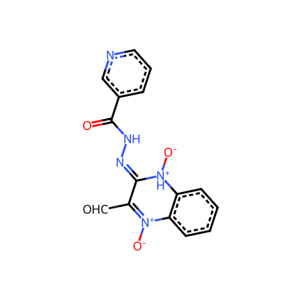 O=CC1=[N+]([O-])c2ccccc2[NH+]([O-])C1=NNC(=O)c1cccnc1